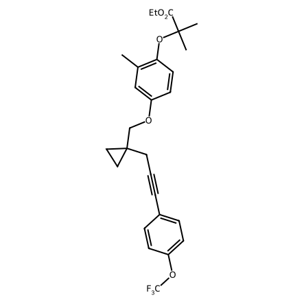 CCOC(=O)C(C)(C)Oc1ccc(OCC2(CC#Cc3ccc(OC(F)(F)F)cc3)CC2)cc1C